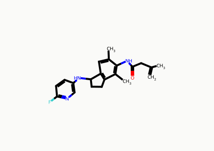 C=C(C)CC(=O)Nc1c(C)cc2c(c1C)CCC2Nc1ccc(F)nc1